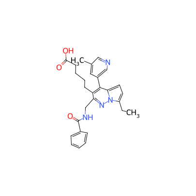 CCc1ccc2c(-c3cncc(C)c3)c(CCCCC(=O)O)c(CNC(=O)c3ccccc3)nn12